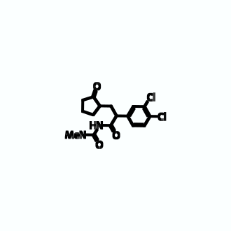 CNC(=O)NC(=O)C(CC1CCCC1=O)c1ccc(Cl)c(Cl)c1